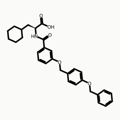 O=C(N[C@@H](CC1CCCCC1)C(=O)O)c1cccc(OCc2ccc(OCc3ccccc3)cc2)c1